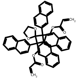 C=CC(=O)OCC(c1ccc2ccccc2c1)(c1ccc2ccccc2c1)C1(C(COC(=O)C=C)(c2ccc3ccccc3c2)c2ccc3ccccc3c2)OCCO1